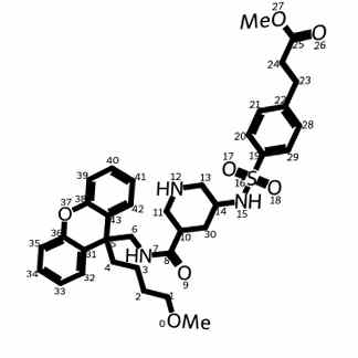 COCCCCC1(CNC(=O)C2CNCC(NS(=O)(=O)c3ccc(CCC(=O)OC)cc3)C2)c2ccccc2Oc2ccccc21